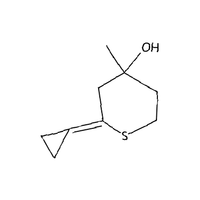 CC1(O)CCSC(=C2CC2)C1